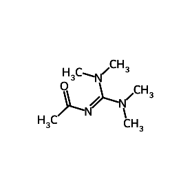 CC(=O)N=C(N(C)C)N(C)C